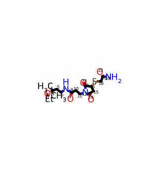 CCOC(C)(C)CCNC(=O)CCN1C(=O)CC(SCC(N)=O)C1=O